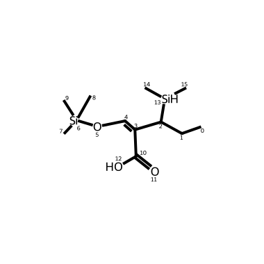 CCC(C(=CO[Si](C)(C)C)C(=O)O)[SiH](C)C